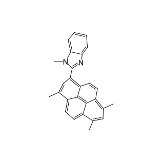 Cc1cc(C)c2ccc3c(-c4nc5ccccc5n4C)cc(C)c4ccc1c2c43